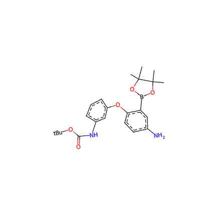 CC(C)(C)OC(=O)Nc1cccc(Oc2ccc(N)cc2B2OC(C)(C)C(C)(C)O2)c1